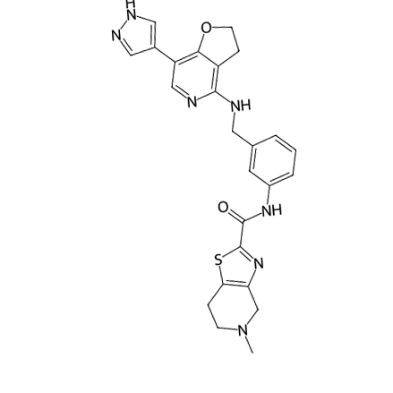 CN1CCc2sc(C(=O)Nc3cccc(CNc4ncc(-c5cn[nH]c5)c5c4CCO5)c3)nc2C1